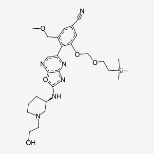 COCc1cc(C#N)cc(OCOCC[Si](C)(C)C)c1-c1cnc2oc(N[C@@H]3CCCN(CCO)C3)nc2n1